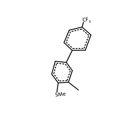 CSc1ccc(-c2ccc(C(F)(F)F)cc2)cc1C